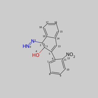 N=Nc1c(O)c(-c2ccccc2[N+](=O)[O-])cc2ccccc12